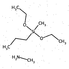 CCC[Si](C)(OCC)OCC.CN